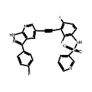 O=S(=O)(Nc1ccc(F)c(C#Cc2cnc3[nH]nc(-c4ccc(F)cc4)c3c2)c1F)c1cccnc1